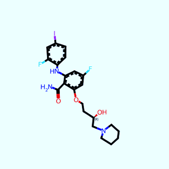 NC(=O)c1c(Nc2ccc(I)cc2F)cc(F)cc1OCC[C@@H](O)CN1CCCCC1